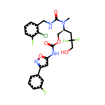 CN(C(=O)NCc1cccc(F)c1Cl)[C@H](COC(=O)Nc1cc(-c2cccc(F)c2)no1)CC(F)(F)CO